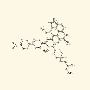 C=CC(=O)N1CC2(CCN(C3c4cc(C=C)c(-c5c(C)ccc6[nH]ncc56)c(OCC(F)(F)F)c4N=C(C4CCN(C5CCN(C6CC6)CC5)CC4)N3C)CC2)C1